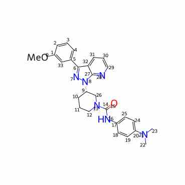 COc1cccc(-c2nn([C@H]3CCCN(C(=O)Nc4ccc(N(C)C)cc4)C3)c3ncccc23)c1